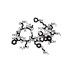 CC(=O)NC1CCSCC(C(=O)NC(Cc2ccc(OCCN)cc2)C(=O)NC(Cc2ccc3ccccc3c2)C(=O)NC2(C(=O)NC(CCC(=O)O)C(=O)NC(CC(N)=O)C(=O)NC(CC(N)=O)C(=O)NC(CCCCNC3CCCCC3)C(N)=O)CCOCC2)NC(=O)C(CCC(N)=O)NC(=O)C(Cc2c[nH]c3ccccc23)NC(=O)C(C(C)O)NC(=O)C(CCC(N)=O)NC1=O